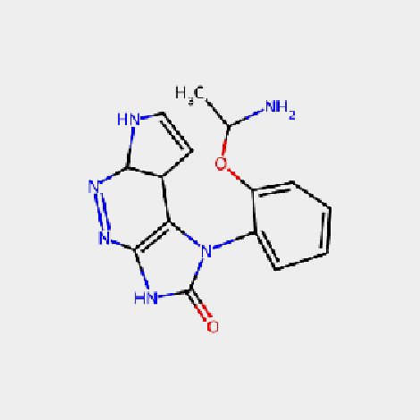 CC(N)Oc1ccccc1-n1c2c([nH]c1=O)N=NC1NC=CC21